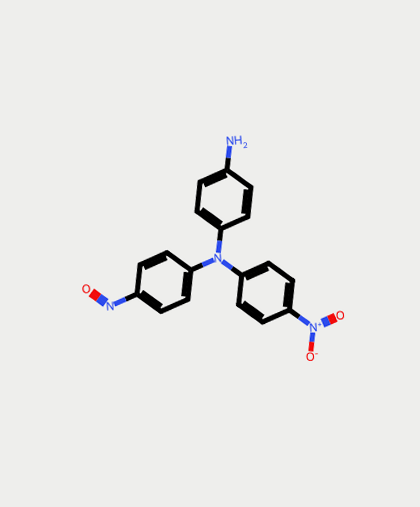 Nc1ccc(N(c2ccc(N=O)cc2)c2ccc([N+](=O)[O-])cc2)cc1